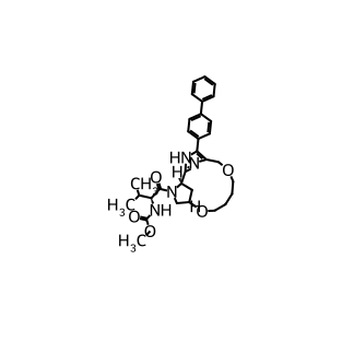 COC(=O)N[C@H](C(=O)N1C[C@@H]2C[C@H]1c1nc(c(-c3ccc(-c4ccccc4)cc3)[nH]1)COCCCCO2)C(C)C